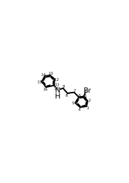 Brc1ccccc1CCCNc1ccccc1